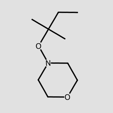 CCC(C)(C)ON1CCOCC1